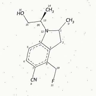 CC1Cc2c(ccc(C#N)c2CF)N1[C@H](C)CO